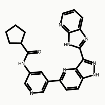 O=C(Nc1cncc(-c2ccc3[nH]nc(-c4nc5cccnc5[nH]4)c3n2)c1)C1CCCC1